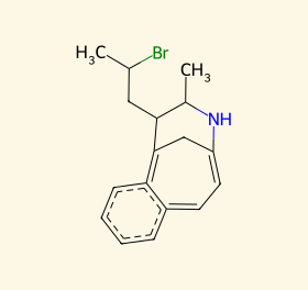 CC(Br)CC1C2=c3ccccc3=CC=C(C2)NC1C